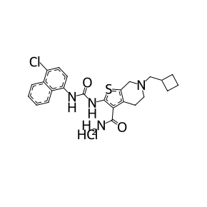 Cl.NC(=O)c1c(NC(=O)Nc2ccc(Cl)c3ccccc23)sc2c1CCN(CC1CCC1)C2